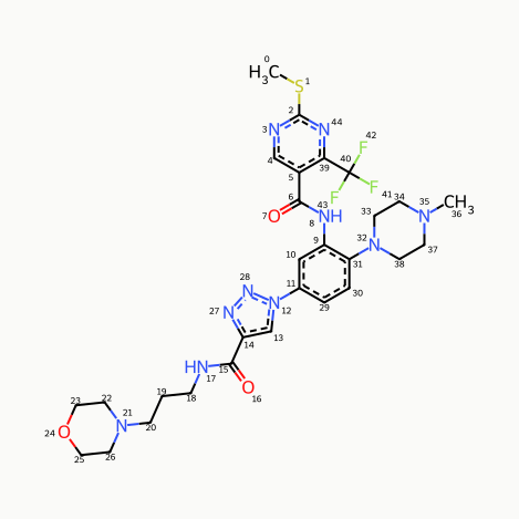 CSc1ncc(C(=O)Nc2cc(-n3cc(C(=O)NCCCN4CCOCC4)nn3)ccc2N2CCN(C)CC2)c(C(F)(F)F)n1